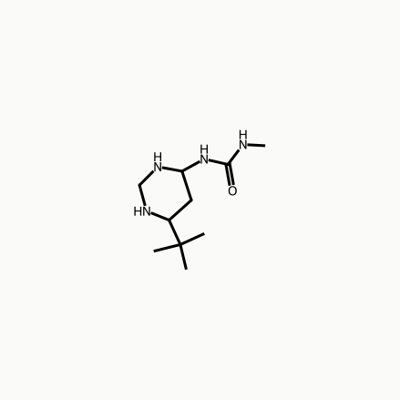 CNC(=O)NC1CC(C(C)(C)C)NCN1